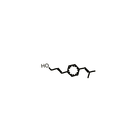 CC(C)=Cc1ccc(C=CCO)cc1